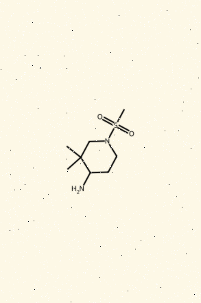 CC1(C)CN(S(C)(=O)=O)CCC1N